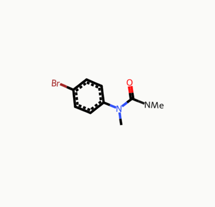 CNC(=O)N(C)c1ccc(Br)cc1